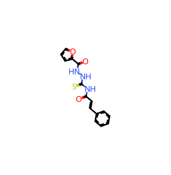 O=C(/C=C/c1ccccc1)NC(=S)NNC(=O)c1ccco1